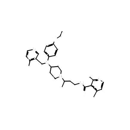 CCOc1ccc(N(Cc2cnccc2C)C2CCN(C(C)CCNC(=O)c3c(C)ccnc3Cl)CC2)cc1